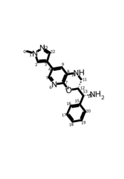 Cn1cc(-c2cnc3c(c2)NC[C@H]([C@H](N)c2ccccc2)O3)cn1